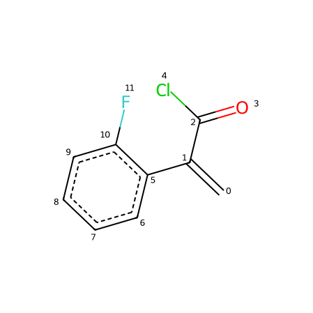 C=C(C(=O)Cl)c1ccccc1F